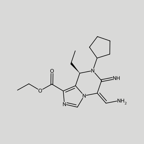 CCOC(=O)c1ncn2c1[C@@H](CC)N(C1CCCC1)C(=N)/C2=C\N